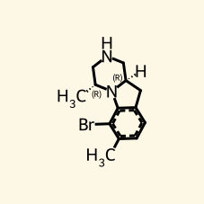 Cc1ccc2c(c1Br)N1[C@@H](CNC[C@H]1C)C2